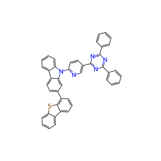 c1ccc(-c2nc(-c3ccccc3)nc(-c3ccc(-n4c5ccccc5c5ccc(-c6cccc7c6sc6ccccc67)cc54)nc3)n2)cc1